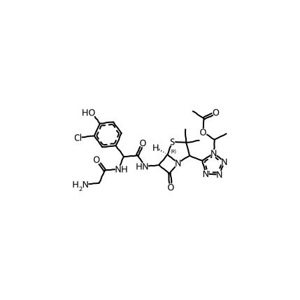 CC(=O)OC(C)n1nnnc1C1N2C(=O)C(NC(=O)C(NC(=O)CN)c3ccc(O)c(Cl)c3)[C@H]2SC1(C)C